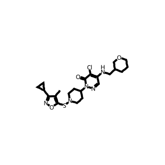 Cc1c(C2CC2)noc1SN1CCC(n2ncc(NCC3CCCOC3)c(Cl)c2=O)CC1